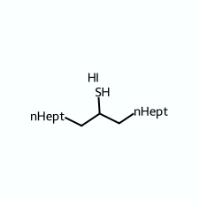 CCCCCCCCC(S)CCCCCCCC.I